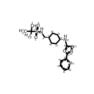 CC(C)(C)S(=O)(=O)NC[C@H]1CC[C@H](Nc2nnc(-c3ccccn3)o2)CC1